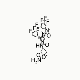 CN(C(=O)N(C)[C@@H]1CN(C(=O)NC2CCC(C)(OC(N)=O)CC2)C[C@H]1c1ccc(F)cc1)c1cc(C(F)(F)F)cc(C(F)(F)F)c1